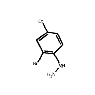 [CH2]Cc1ccc(NN)c(Br)c1